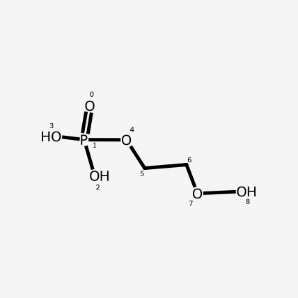 O=P(O)(O)OCCOO